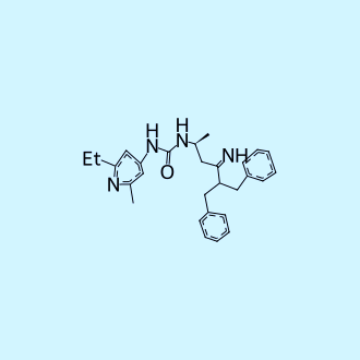 CCc1cc(NC(=O)N[C@@H](C)CC(=N)C(Cc2ccccc2)Cc2ccccc2)cc(C)n1